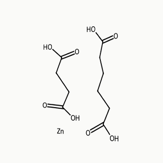 O=C(O)CCC(=O)O.O=C(O)CCCCC(=O)O.[Zn]